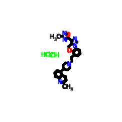 Cc1ccc2c(C3CCN(CCc4cccc5c4OCc4c(-c6nc(C)no6)ncn4-5)CC3)cccc2n1.Cl.Cl